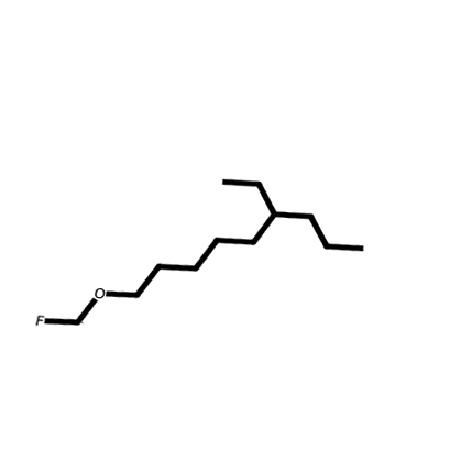 CCCC(CC)CCCCCO[CH]F